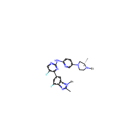 CCN1CCN(c2ccc(Nc3ncc(F)c(-c4cc(F)c5nc(C)n(C(C)C)c5c4)n3)nc2)C[C@@H]1C